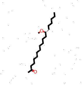 CCCCCC[C@H](CCCCCCCCCCC(C)=O)OC